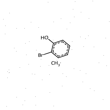 Oc1ccccc1Br.[CH3]